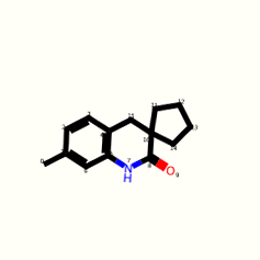 Cc1ccc2c(c1)NC(=O)C1(CCCC1)C2